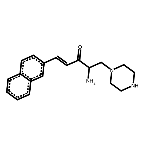 NC(CN1CCNCC1)C(=O)C=Cc1ccc2ccccc2c1